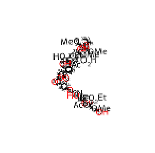 C1CCOC1.CC#N.CC(=O)CC(C)C.CC(C)O.CCC(C)=O.CCC(CC)(C(=O)O)C(=O)O.CCOC(=O)C(C)O.CO.COCC(C)O.COCC(C)OC(C)=O.COCCOCCOC.O=C1CCCCC1.O=C1CCCO1.OCc1ccccc1